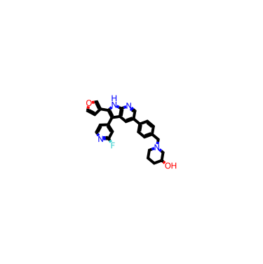 OC1CCCN(Cc2ccc(-c3cnc4[nH]c(-c5ccoc5)c(-c5ccnc(F)c5)c4c3)cc2)C1